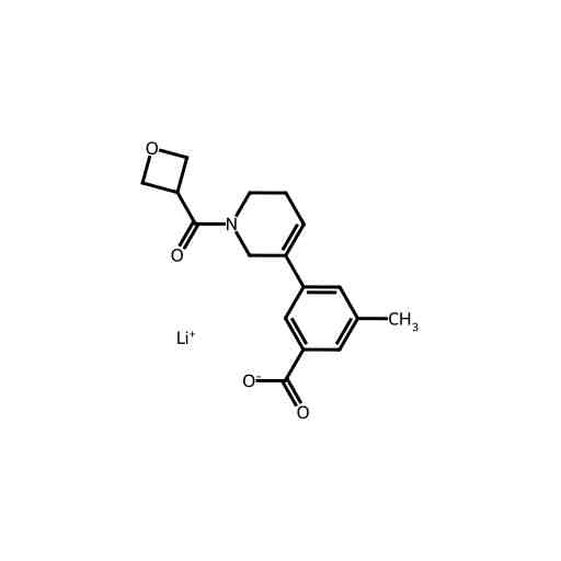 Cc1cc(C(=O)[O-])cc(C2=CCCN(C(=O)C3COC3)C2)c1.[Li+]